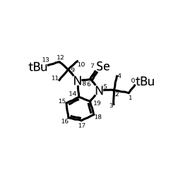 CC(C)(C)CC(C)(C)n1c(=[Se])n(C(C)(C)CC(C)(C)C)c2ccccc21